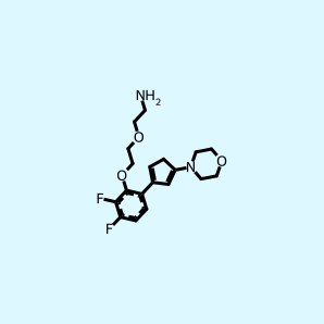 NCCOCCOc1c(C2=CCC(N3CCOCC3)=C2)ccc(F)c1F